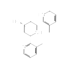 CC1=C([C@H]2C[C@H](O)C[C@@H](c3ncccc3C)N2)NCC=C1